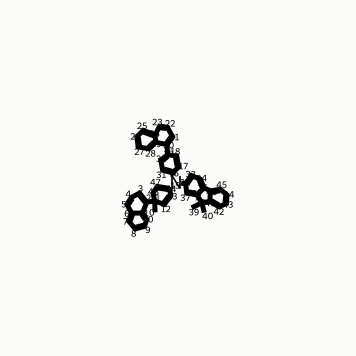 CC1(c2cccc3ccccc23)C=CC(N(c2ccc(-c3cccc4ccccc34)cc2)c2ccc3c(c2)C(C)(C)c2ccccc2-3)=CC1